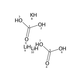 O=C(O)O.O=C(O)O.[KH].[LiH].[LiH]